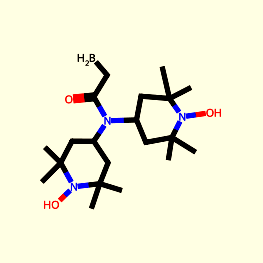 BCC(=O)N(C1CC(C)(C)N(O)C(C)(C)C1)C1CC(C)(C)N(O)C(C)(C)C1